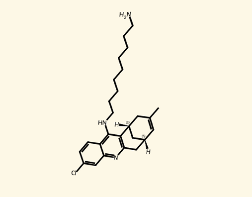 CC1=C[C@@H]2Cc3nc4cc(Cl)ccc4c(NCCCCCCCCCN)c3[C@H](C1)C2